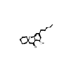 CCCCCc1cc(O)c2c(c1)OC1(CCCCC1)CC2=O